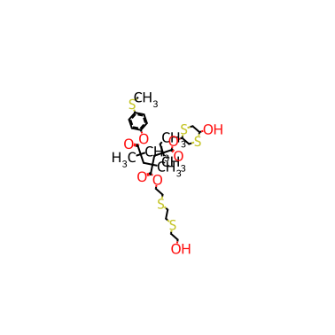 CCC(C)(CC(C)(CC(C)(C)C(=O)Oc1ccc(SC)cc1)C(=O)OCCSCCSCCO)C(=O)OC1CSC(O)CS1